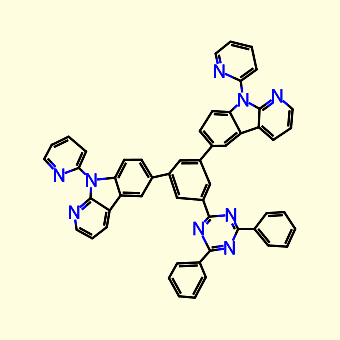 c1ccc(-c2nc(-c3ccccc3)nc(-c3cc(-c4ccc5c(c4)c4cccnc4n5-c4ccccn4)cc(-c4ccc5c(c4)c4cccnc4n5-c4ccccn4)c3)n2)cc1